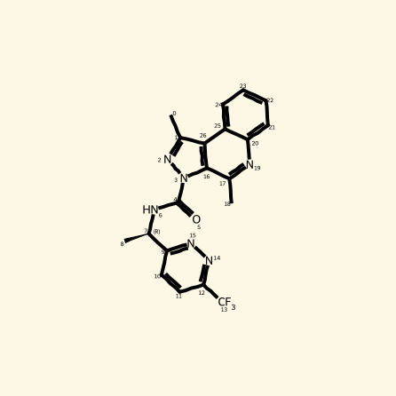 Cc1nn(C(=O)N[C@H](C)c2ccc(C(F)(F)F)nn2)c2c(C)nc3ccccc3c12